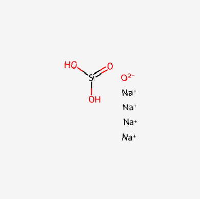 O=[Si](O)O.[Na+].[Na+].[Na+].[Na+].[O-2]